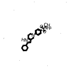 CNS(=O)(=O)c1ccc(N2CCc3[nH]c(C4CCCCC4)cc3C2)cc1